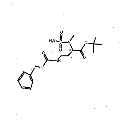 BS(=O)(=O)N(C)[C@H](CCNC(=O)OCc1ccccc1)C(=O)OC(C)(C)C